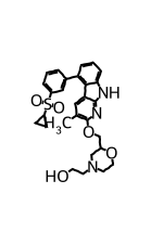 Cc1cc2c(nc1OCC1CN(CCO)CCO1)[nH]c1cccc(-c3cccc(S(=O)(=O)C4CC4)c3)c12